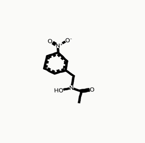 CC(=O)N(O)Cc1cccc([N+](=O)[O-])c1